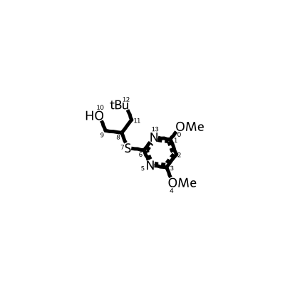 COc1cc(OC)nc(SC(CO)CC(C)(C)C)n1